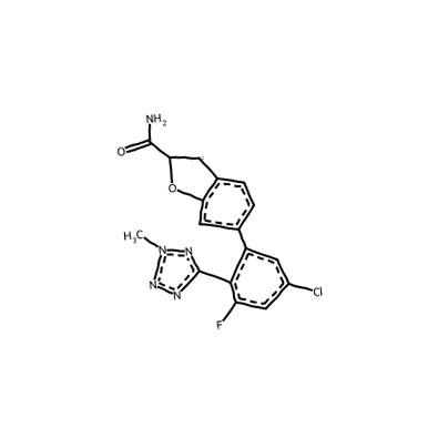 Cn1nnc(-c2c(F)cc(Cl)cc2-c2ccc3c(c2)OC(C(N)=O)[C]3)n1